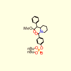 CCCCOP(=O)(OCCCC)Oc1ccc(C(=O)N2CCCCC2C(C(=O)OC)c2ccccc2)cc1